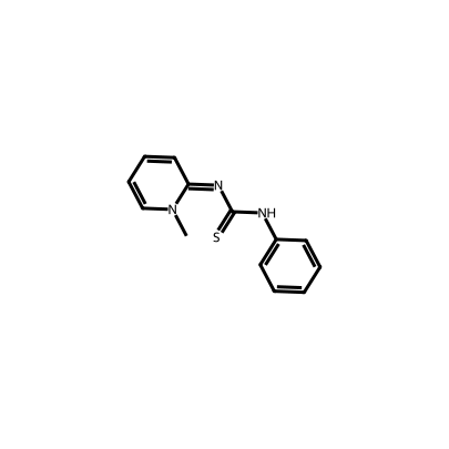 Cn1ccccc1=NC(=S)Nc1ccccc1